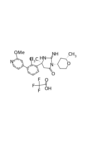 COc1cc(-c2cccc([C@]3(C)CC(=O)N([C@H]4CCO[C@@H](C)C4)C(=N)N3)c2Cl)ccn1.O=C(O)C(F)(F)F